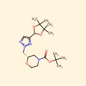 CC(C)(C)OC(=O)N1CCO[C@H](Cn2ncc(B3OC(C)(C)C(C)(C)O3)n2)C1